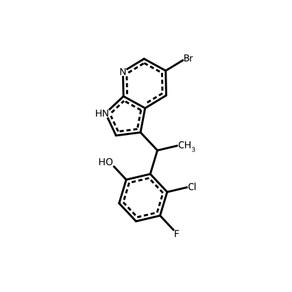 CC(c1c(O)ccc(F)c1Cl)c1c[nH]c2ncc(Br)cc12